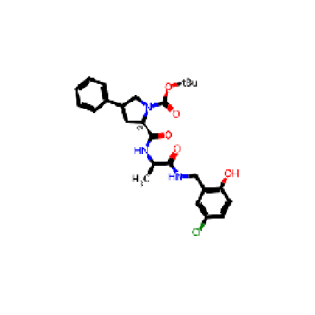 CC(NC(=O)[C@H]1CC(c2ccccc2)CN1C(=O)OC(C)(C)C)C(=O)NCc1cc(Cl)ccc1O